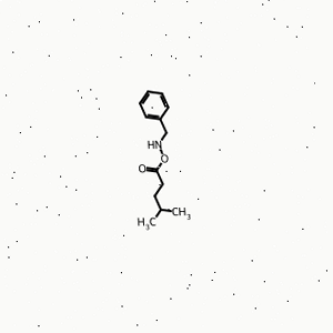 CC(C)CCC(=O)ONCc1ccccc1